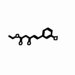 CCOC(=O)CC(=O)C=Cc1cccc(Cl)c1